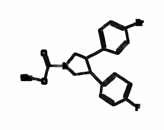 CC(C)(C)OC(=O)N1CC(c2ccc(F)cc2)C(c2ccc(Br)cc2)C1